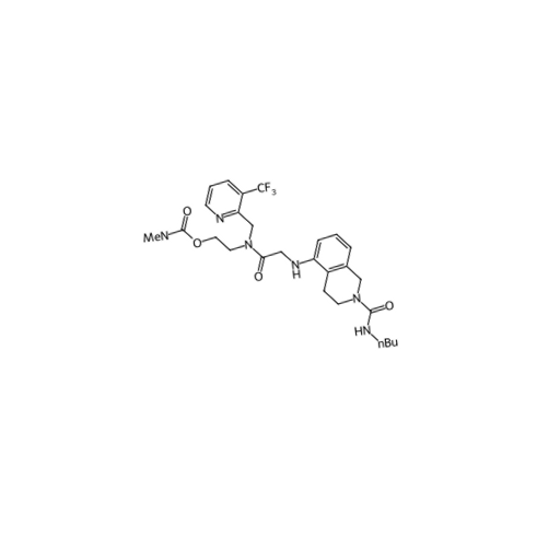 CCCCNC(=O)N1CCc2c(cccc2NCC(=O)N(CCOC(=O)NC)Cc2ncccc2C(F)(F)F)C1